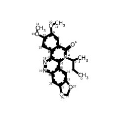 CCC(C)n1c(=O)c2cc(OC)c(OC)cc2c2nnc3cc4c(cc3c21)OCO4